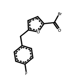 O=C(Br)c1ccc(Cc2ccc(F)cc2)o1